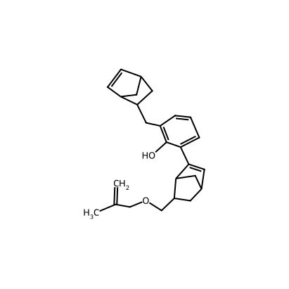 C=C(C)COCC1CC2C=C(c3cccc(CC4CC5C=CC4C5)c3O)C1C2